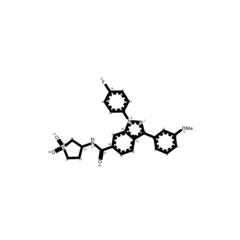 COc1cccc(-c2nn(-c3ccc(F)cc3)c3cc(C(=O)NC4CCS(=O)(=O)C4)ccc23)c1